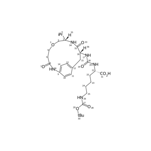 CC(C)[C@H]1COCCC(=O)Nc2ccc(cc2)C[C@@H](NC(=O)N[C@@H](CCCCNC(=O)OC(C)(C)C)C(=O)O)C(=O)N1